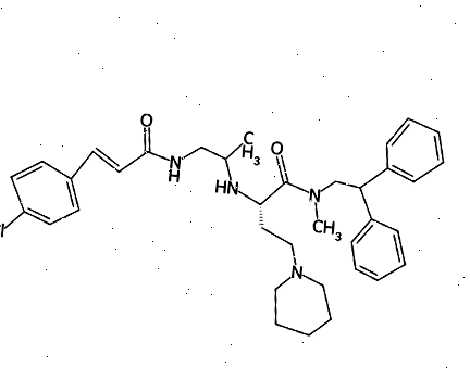 CC(CNC(=O)/C=C/c1ccc(Cl)cc1)N[C@@H](CCN1CCCCC1)C(=O)N(C)CC(c1ccccc1)c1ccccc1